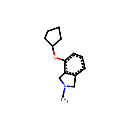 CN1Cc2cccc(OC3CCCC3)c2C1